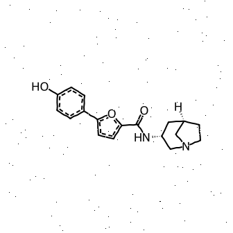 O=C(N[C@@H]1C[C@H]2CCN(C2)C1)c1ccc(-c2ccc(O)cc2)o1